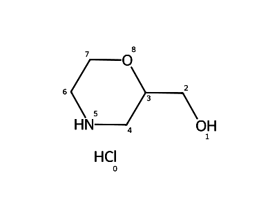 Cl.OCC1CNCCO1